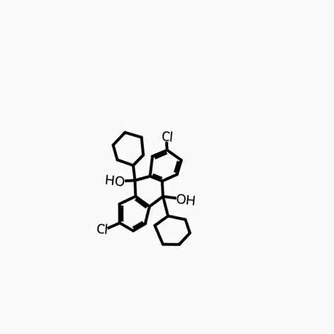 OC1(C2CCCCC2)c2ccc(Cl)cc2C(O)(C2CCCCC2)c2cc(Cl)ccc21